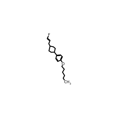 CCCCCCOc1ccc(C2CCC(CC=CF)CC2)cc1